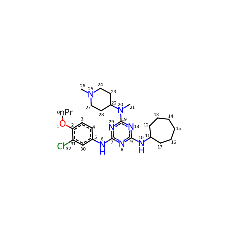 CCCOc1ccc(Nc2nc(NC3CCCCCC3)nc(N(C)C3CCN(C)CC3)n2)cc1Cl